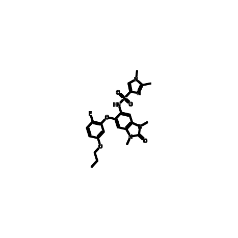 CCCOc1ccc(F)c(Oc2cc3c(cc2NS(=O)(=O)c2cn(C)c(C)n2)n(C)c(=O)n3C)c1